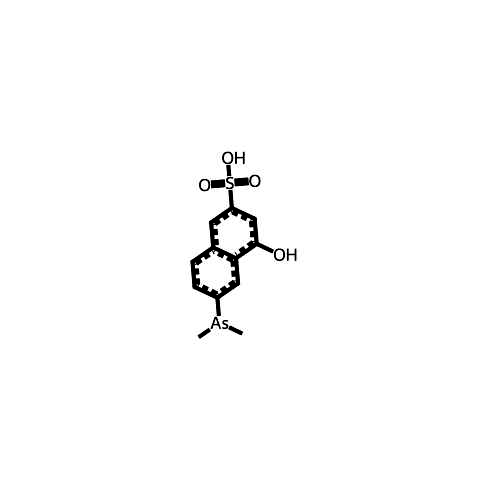 C[As](C)c1ccc2cc(S(=O)(=O)O)cc(O)c2c1